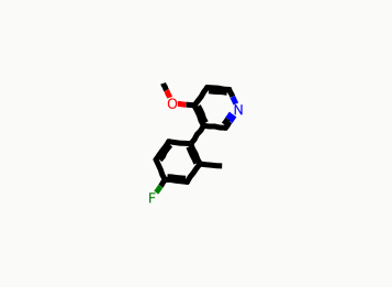 COc1ccncc1-c1ccc(F)cc1C